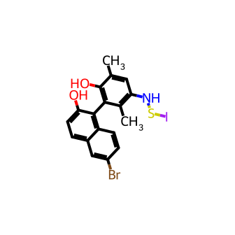 Cc1cc(NSI)c(C)c(-c2c(O)ccc3cc(Br)ccc23)c1O